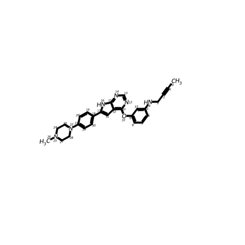 CC#CCNc1cccc(Oc2ncnc3[nH]c(-c4ccc(N5CCN(C)CC5)cc4)cc23)c1